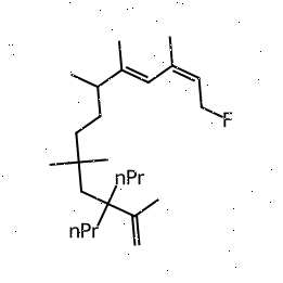 C=C(C)C(CCC)(CCC)CC(C)(C)CCC(C)/C(C)=C/C(C)=C\CF